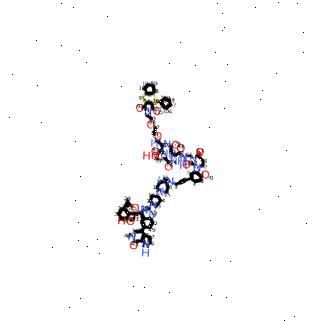 COc1ccc(C#CCNC2(C)CCN(C3CCN(c4nc([C@@](CO)(OC5CC5)c5ccccc5)c5cc(-c6cn(C)c(=O)c7[nH]ccc67)ccc5n4)CC3)CC2)cc1N1CCC(=O)N(CNC(=O)[C@H](CC(N)=O)NC(=O)[C@H](CO)NC(=O)CCOCCOCCN2C(=O)C(Sc3ccccc3)=C(Sc3ccccc3)C2=O)C1=O